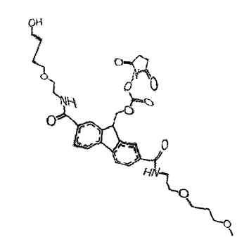 COCCCOCCNC(=O)c1ccc2c(c1)C(COC(=O)ON1C(=O)CCC1=O)c1cc(C(=O)NCCOCCCCO)ccc1-2